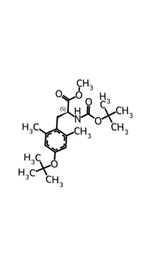 COC(=O)[C@H](Cc1c(C)cc(OC(C)(C)C)cc1C)NC(=O)OC(C)(C)C